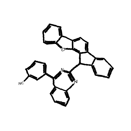 N#Cc1cccc(-c2nc(C3c4ccccc4-c4ccc5c(oc6ccccc65)c43)nc3ccccc23)c1